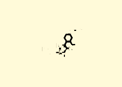 CC[N+](CC)(CC(=O)O)C(=O)c1nc(Cl)c2cc(OC(C)C)ccc2c1O